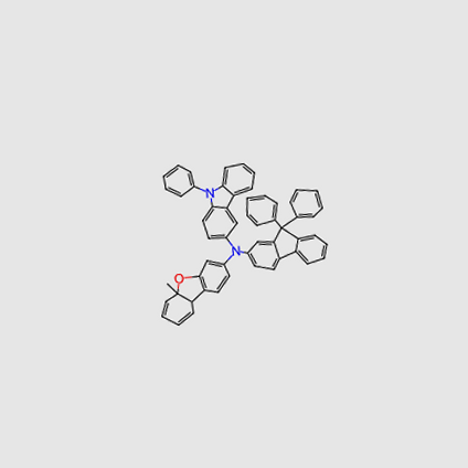 CC12C=CC=CC1c1ccc(N(c3ccc4c(c3)C(c3ccccc3)(c3ccccc3)c3ccccc3-4)c3ccc4c(c3)c3ccccc3n4-c3ccccc3)cc1O2